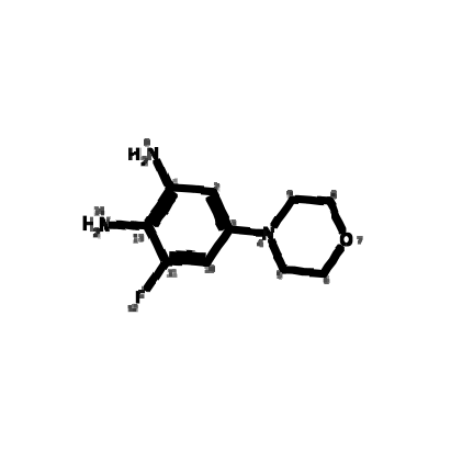 Nc1cc(N2CCOCC2)cc(F)c1N